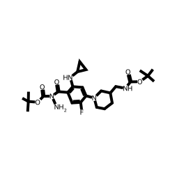 CC(C)(C)OC(=O)NCC1CCCN(c2cc(NC3CC3)c(C(=O)N(N)C(=O)OC(C)(C)C)cc2F)C1